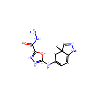 CC12C=NNC1=CC=C(Nc1nnc(C(=O)NN)o1)C2